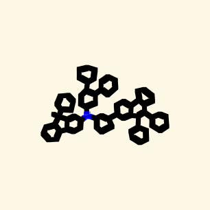 CC1(c2ccccc2)c2ccccc2-c2ccc(N(c3cccc(-c4ccc5c(c4)c(-c4ccccc4)c(-c4ccccc4)c4ccccc45)c3)c3ccc(-c4ccccc4)c(-c4ccccc4)c3)cc21